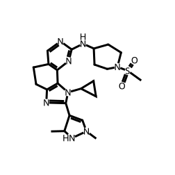 CC1NN(C)C=C1c1nc2c(n1C1CC1)-c1nc(NC3CCN(S(C)(=O)=O)CC3)ncc1CC2